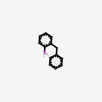 Pc1ccccc1Cc1ccccc1